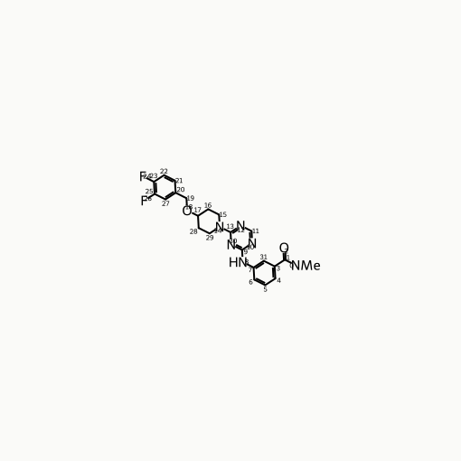 CNC(=O)c1cccc(Nc2ncnc(N3CCC(OCc4ccc(F)c(F)c4)CC3)n2)c1